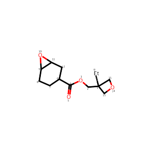 CCC1(COC(=O)C2CCC3OC3C2)COC1